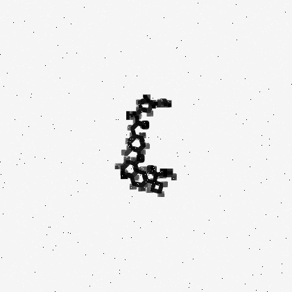 Cc1cc(CC(=O)Nc2cnn(C(C)(C)C)c2)ccc1Oc1ccnc2ccc(C3(C(N)=O)CCC3)cc12